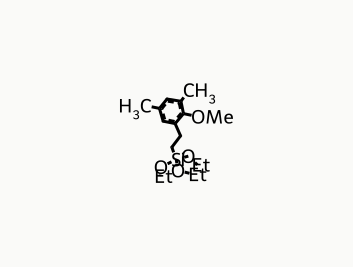 CCO[Si](CCc1cc(C)cc(C)c1OC)(OCC)OCC